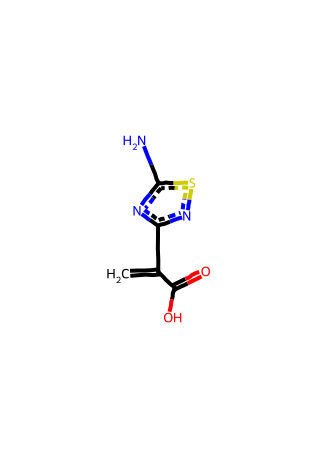 C=C(C(=O)O)c1nsc(N)n1